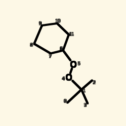 CC(C)(C)OO[C]1CCCCC1